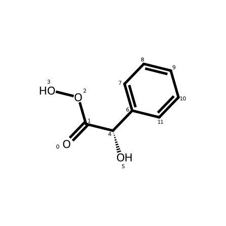 O=C(OO)[C@@H](O)c1ccccc1